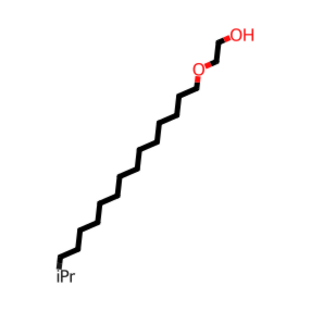 CC(C)CCCCCCCCCCCCCCOCCO